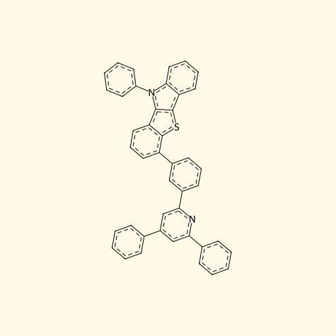 c1ccc(-c2cc(-c3ccccc3)nc(-c3cccc(-c4cccc5c4sc4c6ccccc6n(-c6ccccc6)c54)c3)c2)cc1